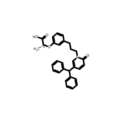 C[C@@H](Oc1cccc(CCCn2cc(C(c3ccccc3)c3ccccc3)ccc2=O)c1)C(=O)O